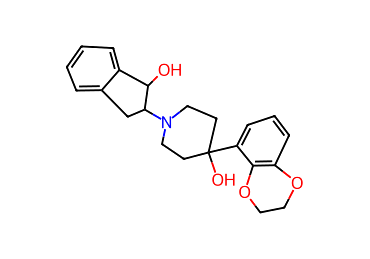 OC1c2ccccc2CC1N1CCC(O)(c2cccc3c2OCCO3)CC1